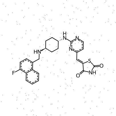 O=C1NC(=O)/C(=C/c2ccnc(N[C@H]3CC[C@H](NCc4ccc(F)c5ccccc45)CC3)n2)S1